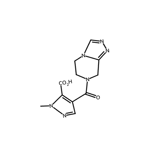 Cn1ncc(C(=O)N2CCn3cnnc3C2)c1C(=O)O